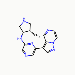 C[C@@H]1CNC[C@@H]1Nc1cncc(-c2cnn3ccncc23)n1